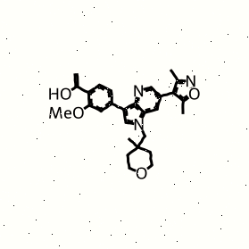 C=C(O)c1ccc(-c2cn(CC3(C)CCOCC3)c3cc(-c4c(C)noc4C)cnc23)cc1OC